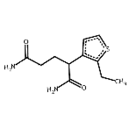 CCc1sccc1C(CCC(N)=O)C(N)=O